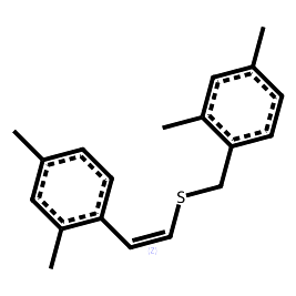 Cc1ccc(/C=C\SCc2ccc(C)cc2C)c(C)c1